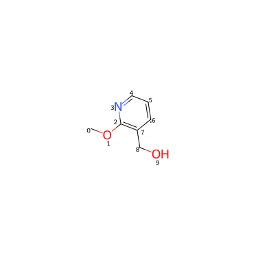 COc1ncc[c]c1CO